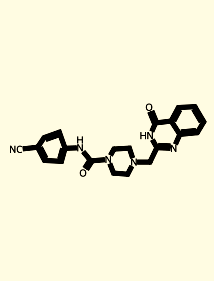 N#Cc1ccc(NC(=O)N2CCN(Cc3nc4ccccc4c(=O)[nH]3)CC2)cc1